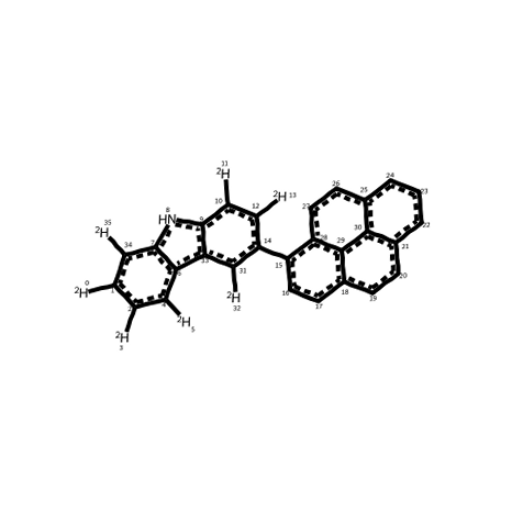 [2H]c1c([2H])c([2H])c2c([nH]c3c([2H])c([2H])c(-c4ccc5ccc6cccc7ccc4c5c67)c([2H])c32)c1[2H]